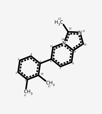 Cc1cccc(-c2ccc3cnc(C)n3c2)c1C